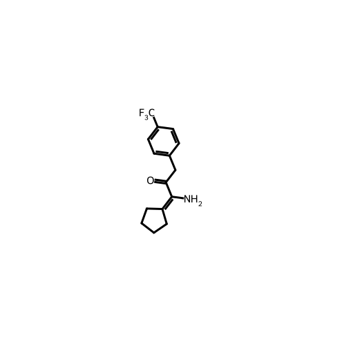 NC(C(=O)Cc1ccc(C(F)(F)F)cc1)=C1CCCC1